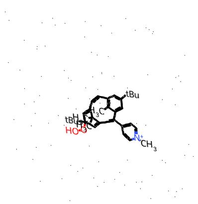 Cc1c2cc(C(C)(C)C)cc1/C(c1cc[n+](C)cc1)=C\C1=CC(OO)(C(C)(C)C)C=C(/C=C\2)C1(C)C